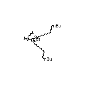 CCCC\C=C/C=C/C=C\CCCCCCCC(=O)/C=C(\CCOC(=O)CCCCCCC\C=C/C=C/C=C\CCCC)C1CC(=C(C)C)C1CCC=C(C)C